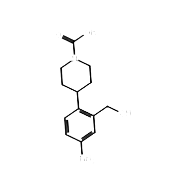 Nc1ccc(C2CCN(C(=O)O)CC2)c(CO)c1